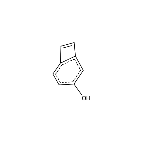 Oc1ccc2c(c1)C=C2